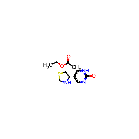 C1CSCN1.CCOC(C)=O.O=c1nccc[nH]1